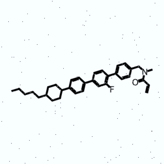 C=CC(=O)N(C)Cc1ccc(-c2ccc(-c3ccc(C4CCC(CCCCC)CC4)cc3)cc2F)cc1